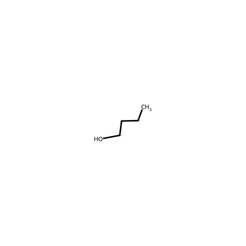 C[CH]C[CH]O